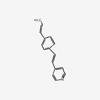 O=C(O)/C=C/c1ccc(/C=C/c2ccncc2)cc1